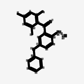 Cc1cc(C)c(C(=O)c2cc(Oc3ccccc3)ccc2P)c(C)c1.[LiH]